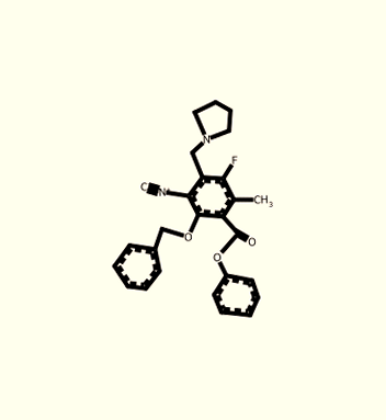 [C-]#[N+]c1c(CN2CCCC2)c(F)c(C)c(C(=O)Oc2ccccc2)c1OCc1ccccc1